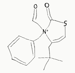 CC(C)(C)C1=CSC(=O)[N+]1(C=O)c1ccccc1